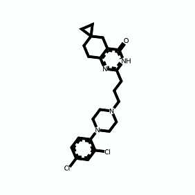 O=c1[nH]c(CCCN2CCN(c3ccc(Cl)cc3Cl)CC2)nc2c1CC1(CC2)CC1